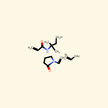 C=CC(=O)NC(C)(C)CS(=O)(=O)O.C=CN1CCCC1=O.C=COC(C)=O